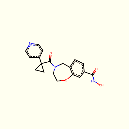 O=C(NO)c1ccc2c(c1)OCCN(C(=O)C1(c3ccncc3)CC1)C2